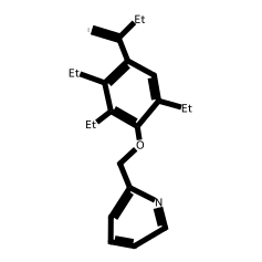 [C]=C(CC)c1cc(CC)c(OCc2ccccn2)c(CC)c1CC